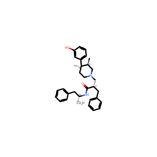 C[C@H]1CN(C[C@H](Cc2ccccc2)C(=O)N[C@@H](Cc2ccccc2)C(=O)O)CC[C@@]1(C)c1cccc(O)c1